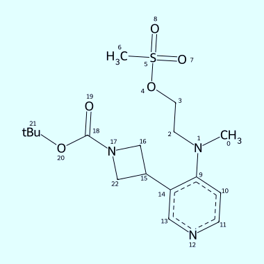 CN(CCOS(C)(=O)=O)c1ccncc1C1CN(C(=O)OC(C)(C)C)C1